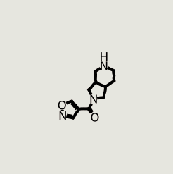 O=C(c1cnoc1)N1CC2CCNCC2C1